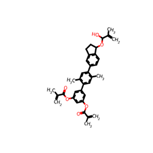 C=C(C)C(=O)Oc1cc(OC(=O)C(=C)C)cc(-c2cc(C)c(-c3ccc4c(c3)CCC4OC(O)C(=C)C)cc2C)c1